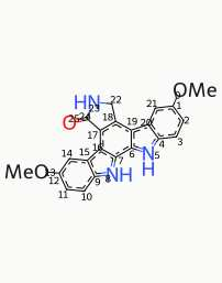 COc1ccc2[nH]c3c4[nH]c5ccc(OC)cc5c4c4c(c3c2c1)CNC4=O